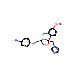 COc1ccc(C2(Cn3ccnc3)OCC(CSc3ccc(N)cc3)O2)c(Cl)c1